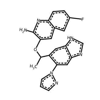 CC(Oc1cc2cc(F)ccc2nc1N)c1cc2[nH]cnc2cc1-n1cccn1